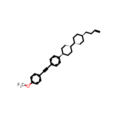 C=CCC[C@H]1CC[C@H]([C@H]2CC[C@H](c3ccc(C#Cc4ccc(OC(F)(F)F)cc4)cc3)CC2)CC1